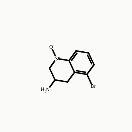 NC1Cc2c(Br)cccc2[S+]([O-])C1